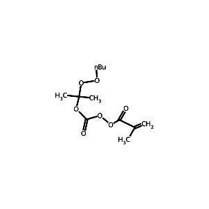 C=C(C)C(=O)OOC(=O)OC(C)(C)OOCCCC